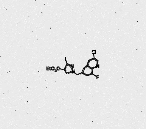 CCOC(=O)c1cn(Cc2cc(F)c3ncc(Cl)cc3c2)nc1I